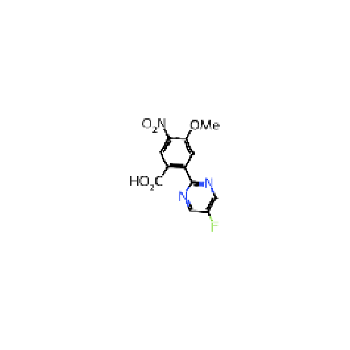 COc1cc(-c2ncc(F)cn2)c(C(=O)O)cc1[N+](=O)[O-]